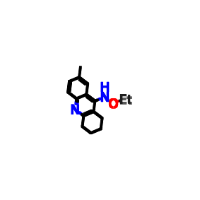 CCONc1c2c(nc3ccc(C)cc13)CCCC2